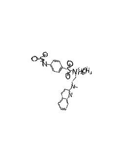 C.CN(CCN(C)S(=O)(=O)c1ccc(N=S(=O)=O)cc1)c1ccc2ccccc2n1.Cl